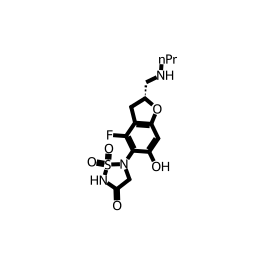 CCCNC[C@H]1Cc2c(cc(O)c(N3CC(=O)NS3(=O)=O)c2F)O1